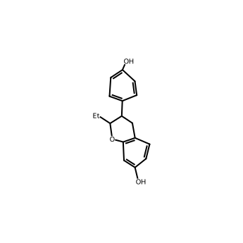 CCC1Oc2cc(O)ccc2CC1c1ccc(O)cc1